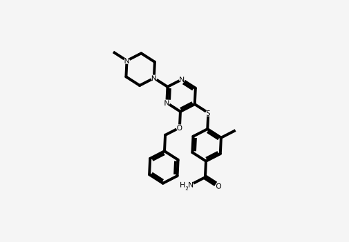 Cc1cc(C(N)=O)ccc1Sc1cnc(N2CCN(C)CC2)nc1OCc1ccccc1